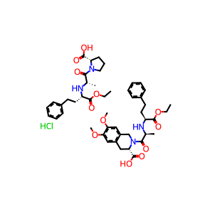 CCOC(=O)[C@H](CCc1ccccc1)N[C@@H](C)C(=O)N1CCC[C@H]1C(=O)O.CCOC(=O)[C@H](CCc1ccccc1)N[C@@H](C)C(=O)N1Cc2cc(OC)c(OC)cc2C[C@H]1C(=O)O.Cl